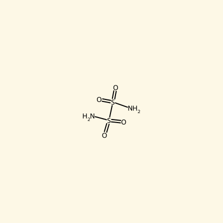 NS(=O)(=O)S(N)(=O)=O